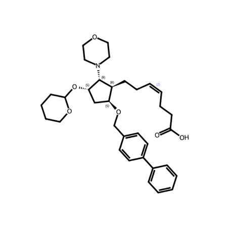 O=C(O)CC/C=C\CC[C@@H]1[C@@H](N2CCOCC2)[C@@H](OC2CCCCO2)C[C@@H]1OCc1ccc(-c2ccccc2)cc1